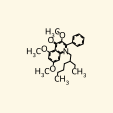 CCCCC(CC)Cn1c(-c2ccccc2)c(OC)c(=O)c2c(OC)cc(OC)cc21